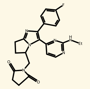 CCNc1nccc(-c2c(-c3ccc(F)cc3)nc3n2C(CN2C(=O)CCC2=O)CC3)n1